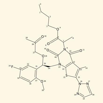 CCCCOC(=O)C(C)n1c(=O)c2c(C)c(-n3nccn3)sc2n(C[C@H](OCC(C)=O)c2cc(F)ccc2OC)c1=O